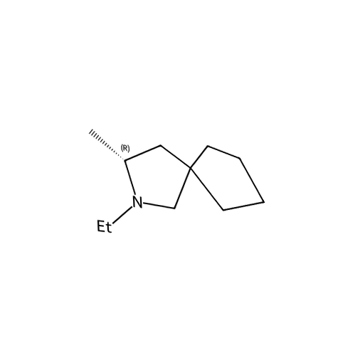 CCN1CC2(CCCC2)C[C@H]1C